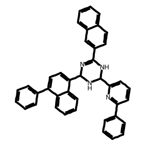 c1ccc(-c2cccc(C3NC(c4ccc5ccccc5c4)=NC(c4ccc(-c5ccccc5)c5ccccc45)N3)n2)cc1